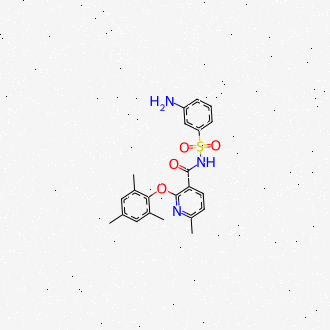 Cc1cc(C)c(Oc2nc(C)ccc2C(=O)NS(=O)(=O)c2cccc(N)c2)c(C)c1